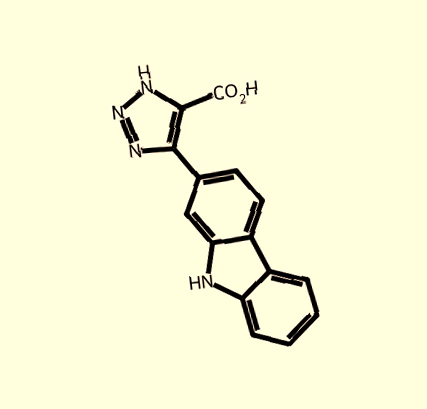 O=C(O)c1[nH]nnc1-c1ccc2c(c1)[nH]c1ccccc12